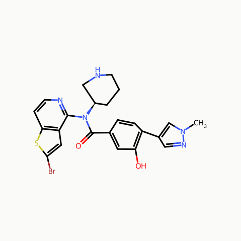 Cn1cc(-c2ccc(C(=O)N(c3nccc4sc(Br)cc34)[C@@H]3CCCNC3)cc2O)cn1